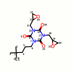 CCC(C)(C)CCCn1c(=O)n(CC2CO2)c(=O)n(CC2CO2)c1=O